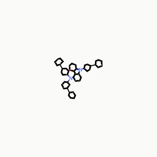 c1ccc(-c2ccc(N(c3cccc(-c4ccccc4)c3)c3cccc4c3c3ccccc3n4-c3ccc(-c4ccccc4)cc3)cc2)cc1